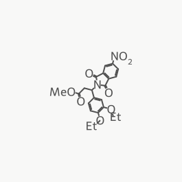 CCOc1ccc(C(CC(=O)OC)N2C(=O)c3ccc([N+](=O)[O-])cc3C2=O)cc1OCC